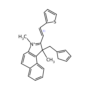 C[N+]1=C(/C=C/c2cccs2)C(C)(CC2=CC=CC2)c2c1ccc1ccccc21